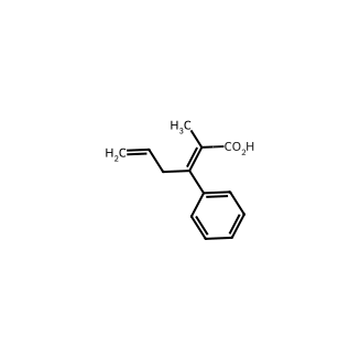 C=CC/C(=C(\C)C(=O)O)c1ccccc1